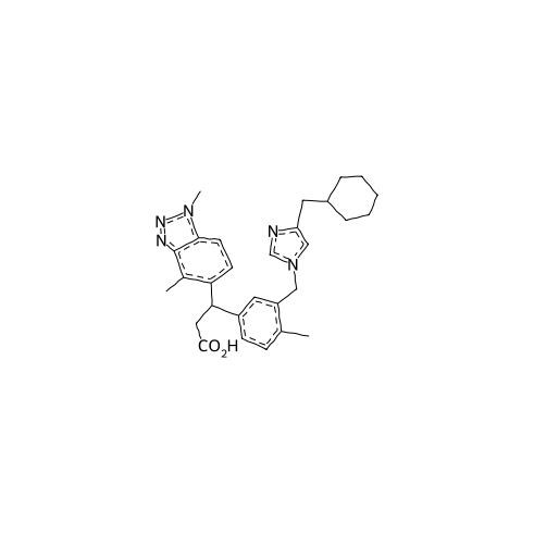 Cc1ccc(C(CC(=O)O)c2ccc3c(nnn3C)c2C)cc1Cn1cnc(CC2CCCCC2)c1